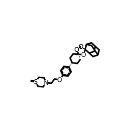 C=S1CCN(CCOc2ccc([C@H]3CC[C@]4(CC3)OO[C@]3(O4)C4CC5CC(C4)CC3C5)cc2)CC1